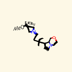 COC1(C(C)(C)C)CN(CCC(C)(C)C2CCN3CCOCC23)C1